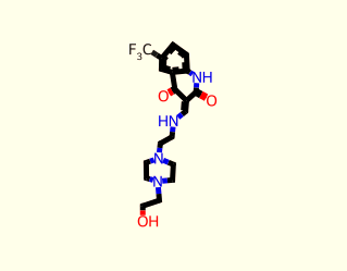 O=C1Nc2ccc(C(F)(F)F)cc2C(=O)/C1=C\NCCN1CCN(CCO)CC1